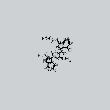 CCOCCn1cc(C(=O)N2CCC(n3c(C)nc4cnccc43)CC2C)c2c(Cl)cccc21